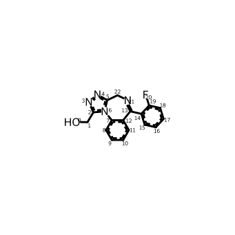 OCc1nnc2n1-c1ccccc1C(c1ccccc1F)=NC2